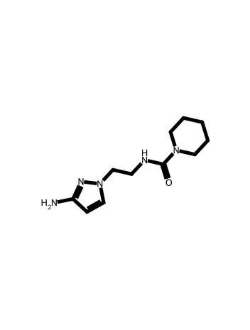 Nc1ccn(CCNC(=O)N2CCCCC2)n1